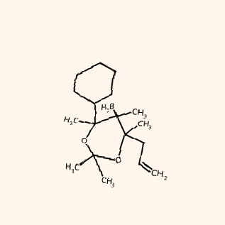 BC1(C)C(C)(CC=C)OC(C)(C)OC1(C)C1CCCCC1